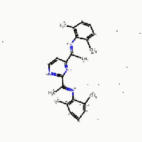 CC(=Nc1c(C)cccc1C)c1ccnc(C(C)=Nc2c(C)cccc2C)n1